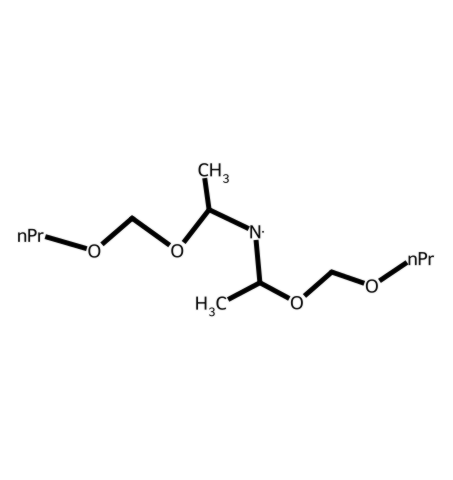 CCCOCOC(C)[N]C(C)OCOCCC